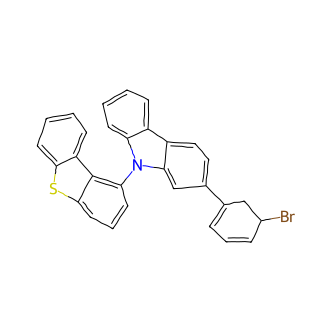 BrC1C=CC=C(c2ccc3c4ccccc4n(-c4cccc5sc6ccccc6c45)c3c2)C1